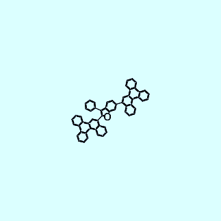 c1ccc(-c2c(-c3cc4c5ccccc5c5ccccc5c4c4ccccc34)oc3cc(-c4cc5c6ccccc6c6ccccc6c5c5ccccc45)ccc23)cc1